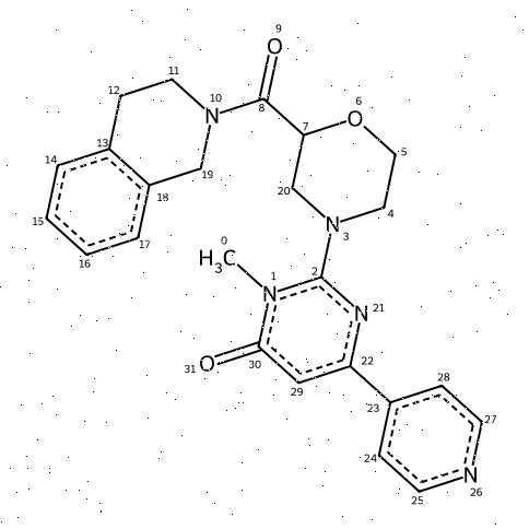 Cn1c(N2CCOC(C(=O)N3CCc4ccccc4C3)C2)nc(-c2ccncc2)cc1=O